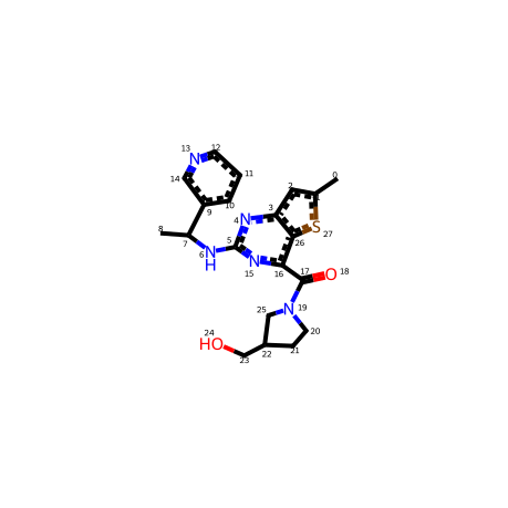 Cc1cc2nc(NC(C)c3cccnc3)nc(C(=O)N3CCC(CO)C3)c2s1